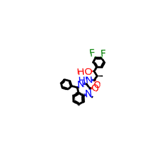 C[C@@H](C(=O)N[C@H]1N=C(c2ccccc2)c2ccccc2N(C)C1=O)[C@@H](O)c1ccc(F)c(F)c1